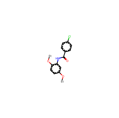 CCOc1ccc(OCC)c(NC(=O)c2ccc(Cl)cc2)c1